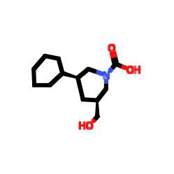 O=C(O)N1C[C@@H](CO)C[C@@H](C2CCCCC2)C1